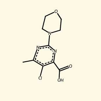 Cc1nc(N2CCOCC2)nc(C(=O)O)c1Cl